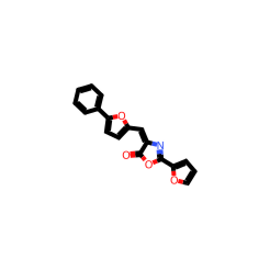 O=C1OC(c2ccco2)=NC1=Cc1ccc(-c2ccccc2)o1